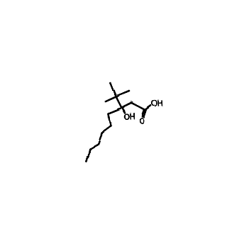 CCCCCCC(O)(CC(=O)O)C(C)(C)C